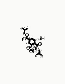 CC(C)COC(=O)c1ccc(C(=O)OCC(C)C)c(S(=O)(=O)O)c1.[LiH]